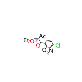 CCO/C=C(/C(C)=O)C(=O)c1ccc(Cl)cc1[N+](=O)[O-]